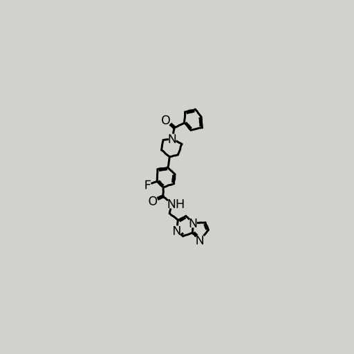 O=C(NCc1cn2ccnc2cn1)c1ccc(C2CCN(C(=O)c3ccccc3)CC2)cc1F